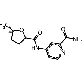 C[C@@H]1CCC(C(=O)Nc2ccnc(C(N)=O)c2)O1